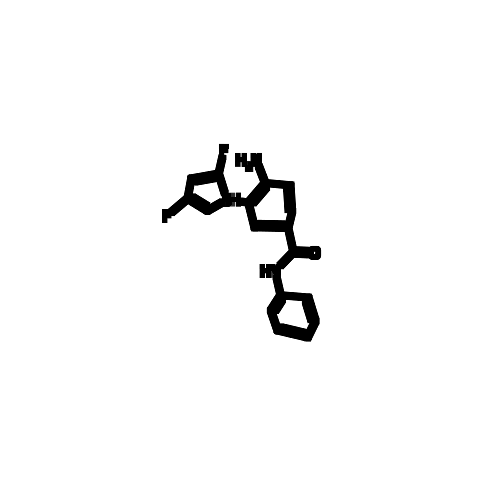 Nc1ccc(C(=O)Nc2ccccc2)cc1[SH]1C=C(F)C=C1F